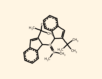 C[Si](C)=[Ti]([CH]1C(C(C)(C)C)=Cc2ccccc21)[CH]1C(C(C)(C)C)=Cc2ccccc21